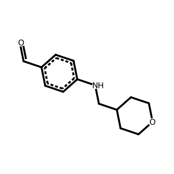 O=Cc1ccc(NCC2CCOCC2)cc1